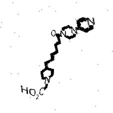 O=C(O)CN1CCC(CCCCCCC(=O)N2CCN(c3ccncc3)CC2)CC1